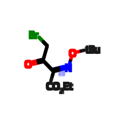 CCOC(=O)/C(=N/OC(C)(C)C)C(=O)CBr